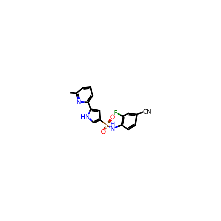 Cc1cccc(-c2cc(S(=O)(=O)Nc3ccc(C#N)cc3F)c[nH]2)n1